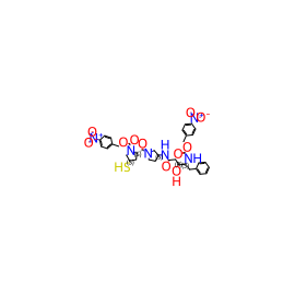 O=C(C[C@@H](O)[C@H](Cc1ccccc1)NC(=O)OCc1ccc([N+](=O)[O-])cc1)N[C@H]1CCN(C(=O)[C@@H]2C[C@H](S)CN2C(=O)OCc2ccc([N+](=O)[O-])cc2)C1